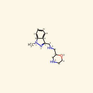 Cn1nc(CNCC2CNCCO2)c2ccccc21